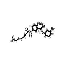 CN(C)CCCC#CC(=O)Nc1ccc2ncnc(Nc3cccc(Br)c3)c2c1